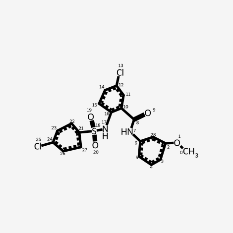 COc1cccc(NC(=O)c2cc(Cl)ccc2NS(=O)(=O)c2ccc(Cl)cc2)c1